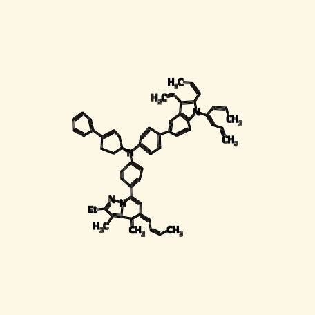 C=C/C=C(\C=C/C)n1c(/C=C\C)c(C=C)c2cc(-c3ccc(N(c4ccc(-c5c/c(=C/C=C\C)c(=C)c6c(C)c(CC)nn56)cc4)[C@@H]4CC=C(c5ccccc5)CC4)cc3)ccc21